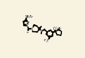 CC(=O)Nc1ccn(C(=O)N2CCC(C)(N(C)Cc3cc(C(F)(F)F)cc(C4(C(=O)O)CCCC4)c3)CC2)n1